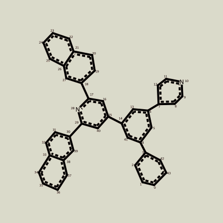 c1ccc(-c2cc(-c3ccncc3)cc(-c3cc(-c4ccc5ccccc5c4)nc(-c4ccc5ccccc5c4)c3)c2)cc1